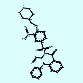 O=CCN(C(=O)c1ccccc1Oc1ccccc1)S(=O)(=O)c1ccc(NCC2CCOCC2)c([N+](=O)[O-])c1